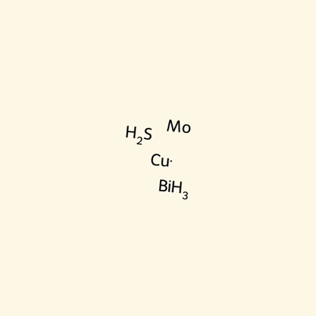 S.[BiH3].[Cu].[Mo]